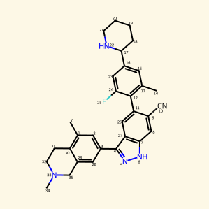 Cc1cc(-c2n[nH]c3cc(C#N)c(-c4c(C)cc(C5CCCCN5)cc4F)cc23)cc2c1CCN(C)C2